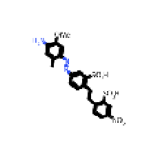 COc1cc(N=Nc2ccc(C=Cc3ccc([N+](=O)[O-])cc3S(=O)(=O)O)c(S(=O)(=O)O)c2)c(C)cc1N